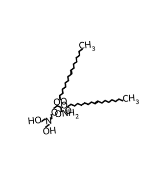 CCCCCCCCC=CCCCCCCCC(=O)OC(COCCN(CCO)CCO)C(OC(=O)CCCCCCCC=CCCCCCCCC)C(N)=O